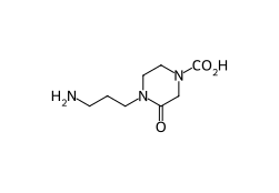 NCCCN1CCN(C(=O)O)CC1=O